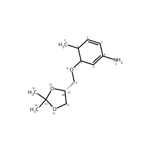 CC1C=CC(N)=CC1OC[C@@H]1COC(C)(C)O1